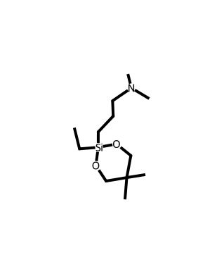 CC[Si]1(CCCN(C)C)OCC(C)(C)CO1